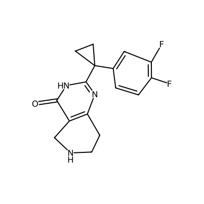 O=c1[nH]c(C2(c3ccc(F)c(F)c3)CC2)nc2c1CNCC2